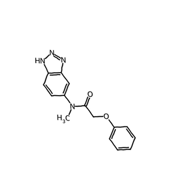 CN(C(=O)COc1ccccc1)c1ccc2[nH]nnc2c1